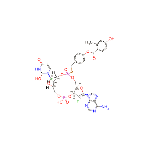 Cc1cc(O)ccc1C(=O)Oc1ccc(CSP2(=O)OC[C@H]3O[C@@H](n4cnc5c(N)ncnc54)[C@H](F)[C@@H]3OP(=O)(O)OC[C@H]3O[C@@H](N4C=CC(=O)NC4O)[C@H](O2)[C@@H]3F)cc1